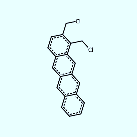 ClCc1ccc2cc3cc4ccccc4cc3cc2c1CCl